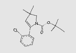 CC1(C)C=C(c2ccccc2Cl)N(C(=O)OC(C)(C)C)C1